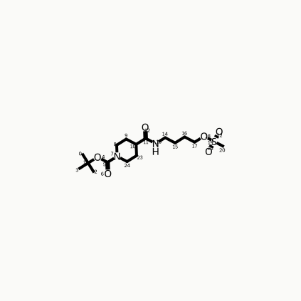 CC(C)(C)OC(=O)N1CCC(C(=O)NCCCCOS(C)(=O)=O)CC1